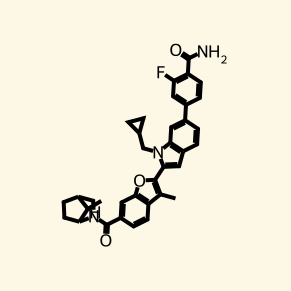 Cc1c(-c2cc3ccc(-c4ccc(C(N)=O)c(F)c4)cc3n2CC2CC2)oc2cc(C(=O)N3CC4CCC3[C@@H]4C)ccc12